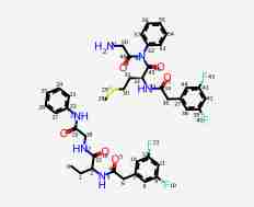 CCC(NC(=O)Cc1cc(F)cc(F)c1)C(=O)NCC(=O)Nc1ccccc1.CSCC[C@H](NC(=O)Cc1cc(F)cc(F)c1)C(=O)N(C(=O)CN)c1ccccc1